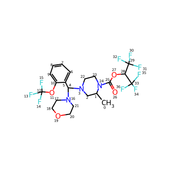 CC1CN(C(c2ccccc2OC(F)(F)F)N2CCOCC2)CCN1C(=O)OC(C(F)(F)F)C(F)(F)F